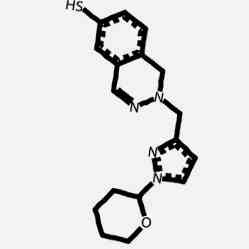 Sc1ccc2c(c1)C=NN(Cc1ccn(C3CCCCO3)n1)C2